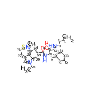 C=CCCNC[C@@H](O)[C@H](Cc1ccccc1)NC(=O)c1cc2c3c(cn(CC)c3c1)CCSN2C